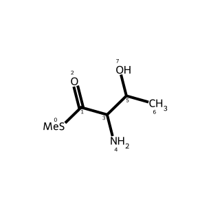 CSC(=O)C(N)C(C)O